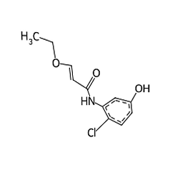 CCOC=CC(=O)Nc1cc(O)ccc1Cl